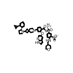 CS(=O)(=NC(=O)c1ccc(N2CCC3(CC2)CC(N2CCC[C@H]2c2ccccc2C2CC2)C3)cc1Oc1cnc2[nH]ccc2c1)c1ccc(NCC2CCOCC2)c([N+](=O)[O-])c1